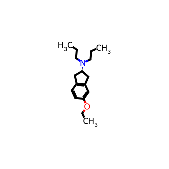 CCCN(CCC)[C@H]1Cc2ccc(OCC)cc2C1